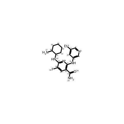 CCc1cncc(Nc2nc(NC3CCCCC3N)c(F)cc2C(N)=O)c1